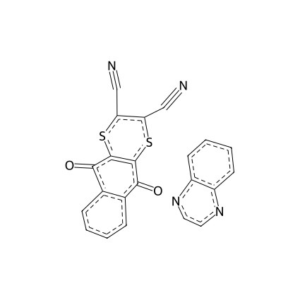 N#Cc1sc2c(=O)c3ccccc3c(=O)c=2sc1C#N.c1ccc2nccnc2c1